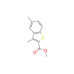 COC(=O)c1sc2ccc(C)cc2c1C